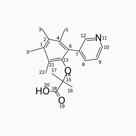 Cc1c(C)c(C)c(-c2cccnc2)c(OC(C)(C)C(=O)O)c1C